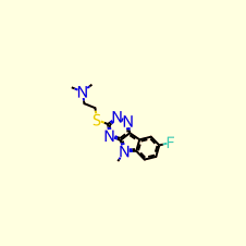 CN(C)CCSc1nnc2c3cc(F)ccc3n(C)c2n1